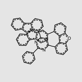 c1ccc(-c2nc(-c3cccc4c3sc3ccccc34)nc(-c3cccc4oc5cccc(-c6ccc7c(c6)sc6ccccc67)c5c34)n2)cc1